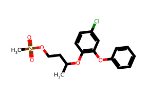 CC(CCOS(C)(=O)=O)Oc1ccc(Cl)cc1Oc1ccccc1